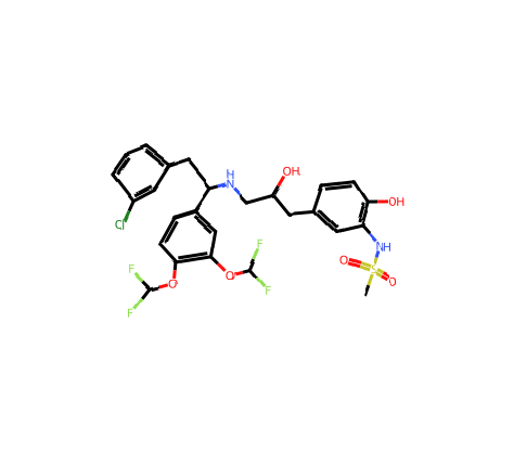 CS(=O)(=O)Nc1cc(CC(O)CNC(Cc2cccc(Cl)c2)c2ccc(OC(F)F)c(OC(F)F)c2)ccc1O